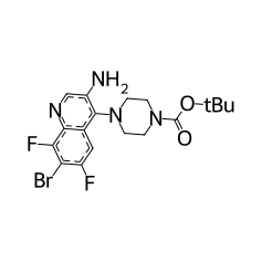 CC(C)(C)OC(=O)N1CCN(c2c(N)cnc3c(F)c(Br)c(F)cc23)CC1